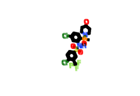 CP(=O)(c1ccc(Cl)cc1NS(=O)(=O)c1ccc(Cl)c(C(F)(F)F)c1)N1CCC(=O)CC1